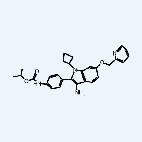 CC(C)OC(=O)Nc1ccc(-c2c(N)c3ccc(OCc4ccccn4)cc3n2C2CCC2)cc1